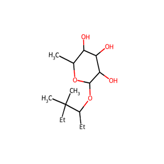 CCC(OC1OC(C)C(O)C(O)C1O)C(C)(C)CC